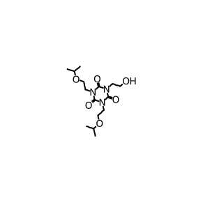 CC(C)OCCn1c(=O)n(CCO)c(=O)n(CCOC(C)C)c1=O